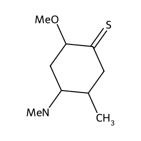 CNC1CC(OC)C(=S)CC1C